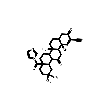 CC1(C)CCC2(C(=O)n3ccnc3)CCC3C(C(=O)CC4C5(C)C=C(C#N)C(=O)CC5CCC34C)C2C1